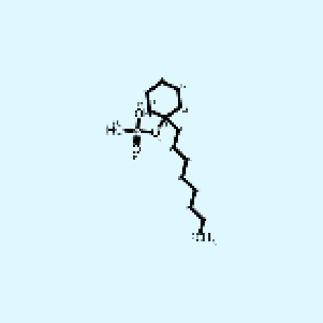 CCCCCCCCC1(OP(=O)(O)O)CCCCC1